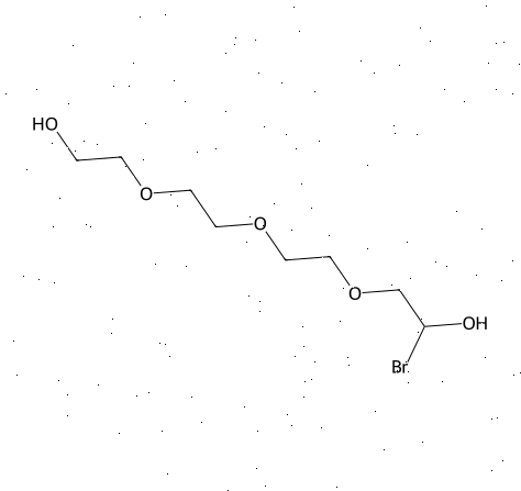 OCCOCCOCCOCC(O)Br